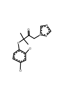 CC(C)(Oc1ccc(Cl)cc1Cl)C(=O)Cn1cncn1